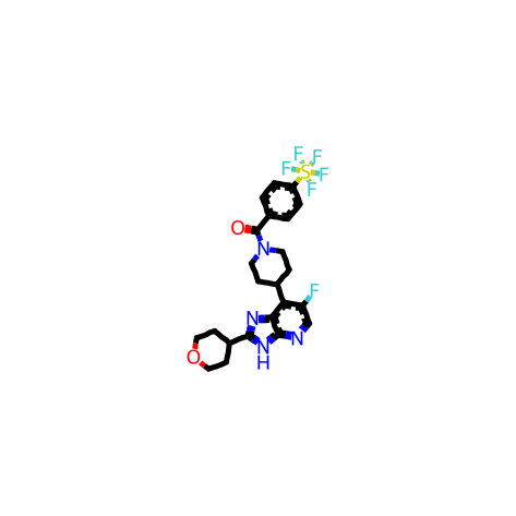 O=C(c1ccc(S(F)(F)(F)(F)F)cc1)N1CCC(c2c(F)cnc3[nH]c(C4CCOCC4)nc23)CC1